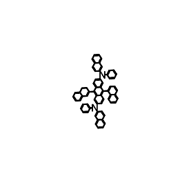 C1=C(c2c3cc(N(c4ccccc4)c4ccc5ccccc5c4)ccc3c(-c3cccc4ccccc34)c3cc(N(c4ccccc4)c4ccc5ccccc5c4)ccc23)CCc2ccccc21